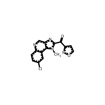 Cn1c(C(=O)c2ccon2)nc2cnc3ccc(Cl)cc3c21